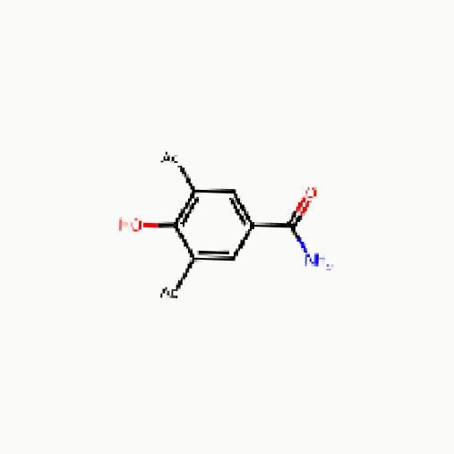 CC(=O)c1cc(C(N)=O)cc(C(C)=O)c1O